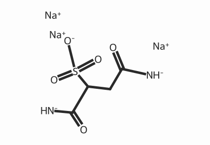 [NH-]C(=O)CC(C([NH-])=O)S(=O)(=O)[O-].[Na+].[Na+].[Na+]